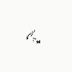 B#P.[Fe].[Nd]